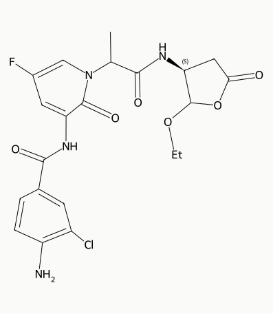 CCOC1OC(=O)C[C@@H]1NC(=O)C(C)n1cc(F)cc(NC(=O)c2ccc(N)c(Cl)c2)c1=O